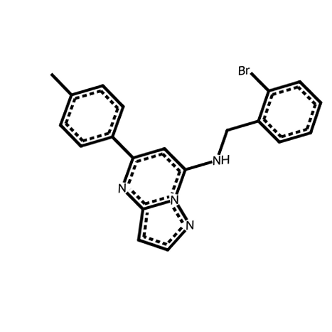 Cc1ccc(-c2cc(NCc3ccccc3Br)n3nccc3n2)cc1